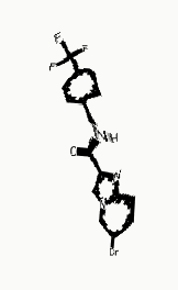 O=C(Nc1ccc(C(F)(F)F)cc1)c1cn2cc(Br)ccc2n1